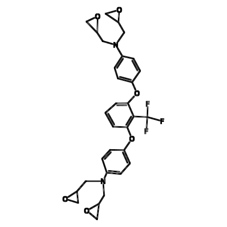 FC(F)(F)c1c(Oc2ccc(N(CC3CO3)CC3CO3)cc2)cccc1Oc1ccc(N(CC2CO2)CC2CO2)cc1